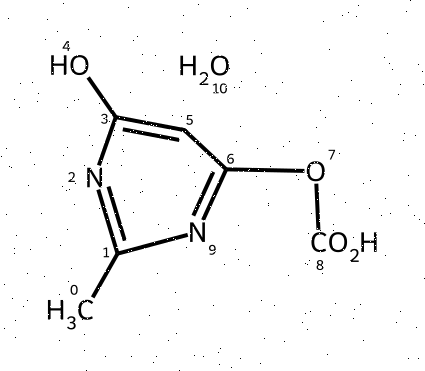 Cc1nc(O)cc(OC(=O)O)n1.O